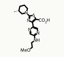 COCCNc1cnc(-c2nc(N3CCC[C@@H](C)C3)sc2C(=O)O)cn1